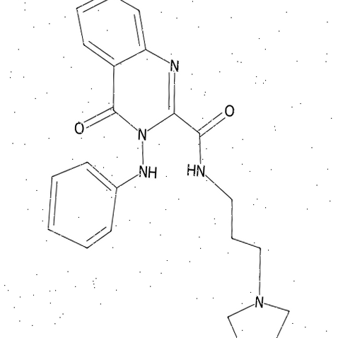 O=C(NCCCN1CCCC1)c1nc2ccccc2c(=O)n1Nc1ccccc1